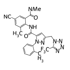 CNC(=O)c1cc(C#N)cc(C)c1NC(=O)c1cc(Cn2nnnc2C(F)(F)F)nn1-c1ccccc1C